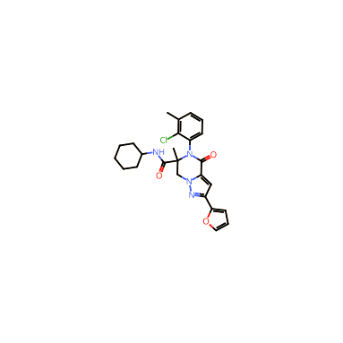 Cc1cccc(N2C(=O)c3cc(-c4ccco4)nn3CC2(C)C(=O)NC2CCCCC2)c1Cl